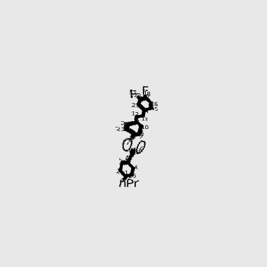 CCCC1CCC(C(=O)Oc2ccc(CCc3ccc(F)c(F)c3)cc2)CC1